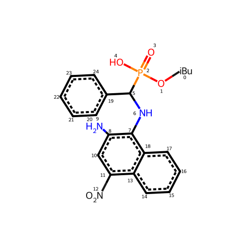 CCC(C)OP(=O)(O)C(Nc1c(N)cc([N+](=O)[O-])c2ccccc12)c1ccccc1